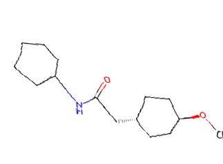 CO[C@H]1CC[C@H](CC(=O)NC2CCCCC2)CC1